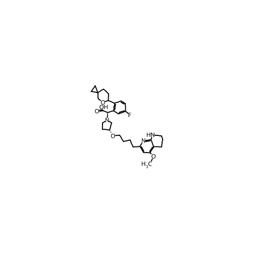 COc1cc(CCCCO[C@@H]2CCN([C@@H](C(=O)O)c3cc(F)ccc3C3CCC4(CC4)CO3)C2)nc2c1CCCN2